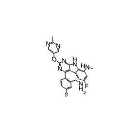 CNc1cc(F)cc2c1[nH]c1nc(Oc3cnc(C)nc3)nc(-c3ccc(F)cc3CN)c12